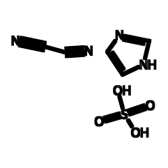 N#CC#N.O=S(=O)(O)O.c1c[nH]cn1